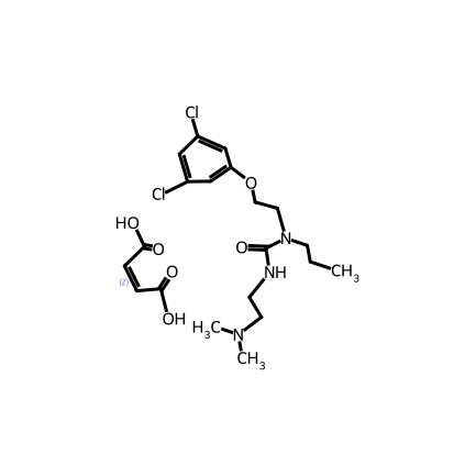 CCCN(CCOc1cc(Cl)cc(Cl)c1)C(=O)NCCN(C)C.O=C(O)/C=C\C(=O)O